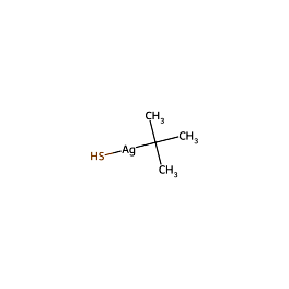 C[C](C)(C)[Ag][SH]